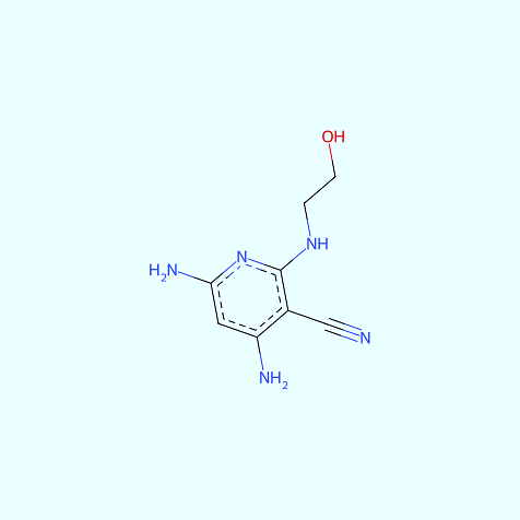 N#Cc1c(N)cc(N)nc1NCCO